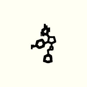 Cn1cnc(C2CCC(OCc3ccccc3)C2c2ccc(F)cc2)n1